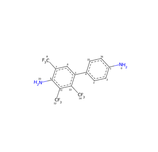 Nc1ccc(-c2cc(C(F)(F)F)c(N)c(C(F)(F)F)c2C(F)(F)F)cc1